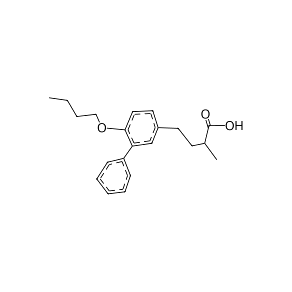 CCCCOc1ccc(CCC(C)C(=O)O)cc1-c1ccccc1